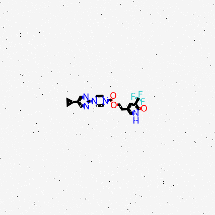 O=C(OCCc1c[nH]c(=O)c(C(F)(F)F)c1)N1CCN(c2ncc(C3CC3)cn2)CC1